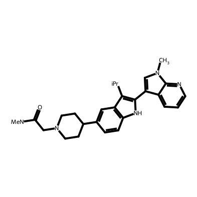 CNC(=O)CN1CCC(c2ccc3[nH]c(-c4cn(C)c5ncccc45)c(C(C)C)c3c2)CC1